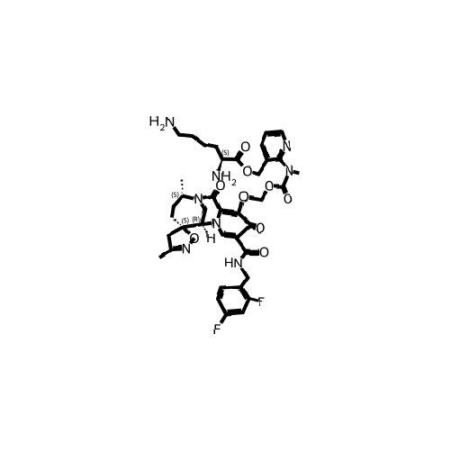 CC1=NO[C@@]2(CC[C@H](C)N3C[C@H]2n2cc(C(=O)NCc4ccc(F)cc4F)c(=O)c(OCOC(=O)N(C)c4ncccc4COC(=O)[C@@H](N)CCCCN)c2C3=O)C1